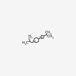 CC(C)CN1CCC(N2CC(C(C)C)C2)CC1